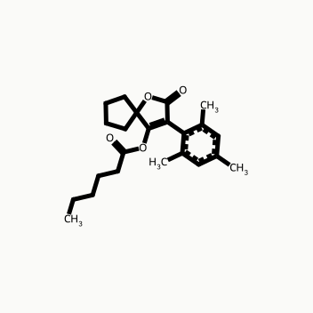 CCCCCC(=O)OC1=C(c2c(C)cc(C)cc2C)C(=O)OC12CCCC2